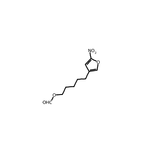 O=[C]OCCCCCc1coc([N+](=O)[O-])c1